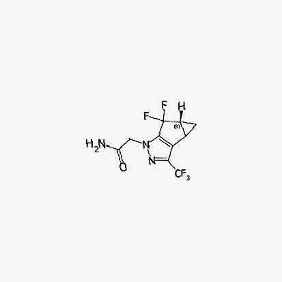 NC(=O)Cn1nc(C(F)(F)F)c2c1C(F)(F)[C@@H]1CC21